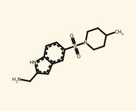 CC1CCN(S(=O)(=O)c2ccc3[nH]c(CN)cc3c2)CC1